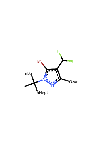 CCCCCCCC(C)(CCCC)n1nc(OC)c(C(F)F)c1Br